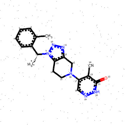 Cc1ccccc1[C@@H](C)n1nnc2c1CCN(c1cn[nH]c(=O)c1C#N)C2